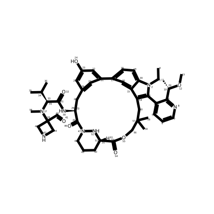 CCn1c(-c2cccnc2[C@H](C)OC)c2c3cc(ccc31)-c1cc(O)cc(c1)C[C@H](NC(=O)[C@H](C(C)C)N(C)C1(C=O)CNC1)C(=O)N1CCC[C@H](N1)C(=O)OCC(C)(C)C2